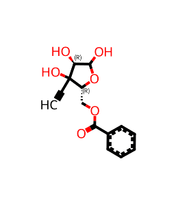 C#CC1(O)[C@@H](COC(=O)c2ccccc2)OC(O)[C@@H]1O